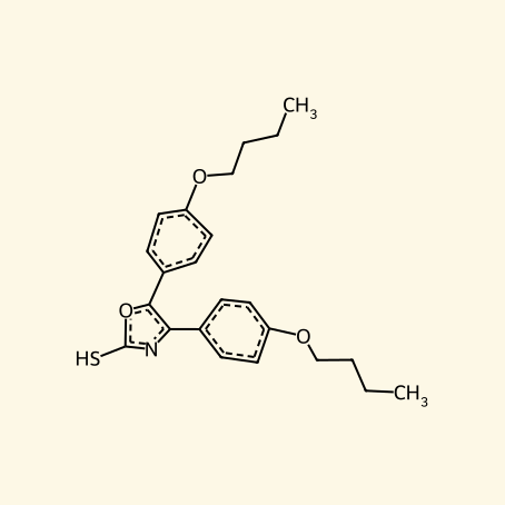 CCCCOc1ccc(-c2nc(S)oc2-c2ccc(OCCCC)cc2)cc1